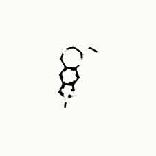 CC[C@@H]1CNCc2cc3cn(C)nc3cc2O1